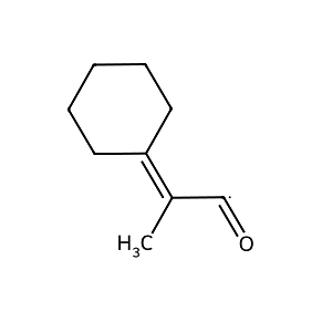 CC([C]=O)=C1CCCCC1